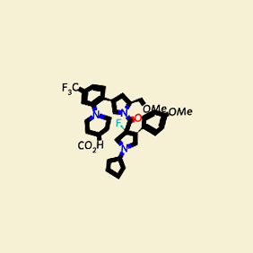 COC[C@@H]1C[C@H](c2ccc(C(F)(F)F)cc2N2CCC(C(=O)O)CC2)CN1C(=O)[C@]1(F)CN(C2CCCC2)C[C@H]1c1ccc(OC)cc1